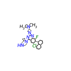 CN(C)C1CN(c2nc(N3CCNCC34CC4)c3cc(Cl)c(-c4cccc5ccccc45)c(F)c3n2)C1